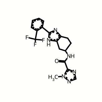 Cn1ncnc1C(=O)NC1CCc2nc(-c3ccccc3C(F)(F)F)[nH]c2C1